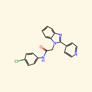 O=C(Cn1c(-c2ccncc2)nc2ccccc21)Nc1ccc(Cl)cc1